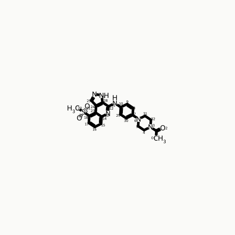 CC(=O)N1CCN(c2ccc(Nc3nc4cccc(S(C)(=O)=O)c4c4cn[nH]c34)cc2)CC1